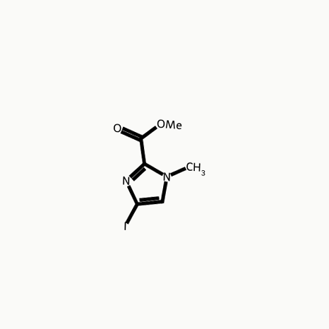 COC(=O)c1nc(I)cn1C